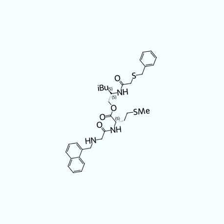 CC[C@H](C)[C@@H](COC(=O)[C@H](CCSC)NC(=O)CNCc1cccc2ccccc12)NC(=O)CSCc1ccccc1